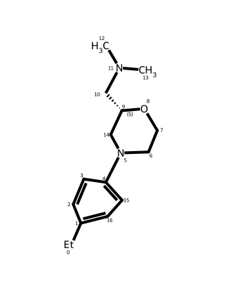 CCc1ccc(N2CCO[C@@H](CN(C)C)C2)cc1